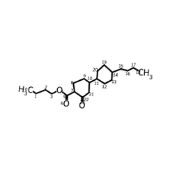 CCCCOC(=O)C1CCC(C2CCC(CCCC)CC2)CC1=O